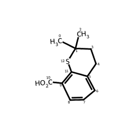 CC1(C)CCc2cccc(C(=O)O)c2S1